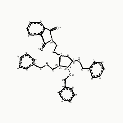 O=C1c2ccccc2C(=O)N1CCN1C[C@@H](OCc2ccccc2)[C@H](OCc2ccccc2)[C@H]1COCc1ccccc1